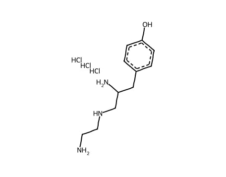 Cl.Cl.Cl.NCCNCC(N)Cc1ccc(O)cc1